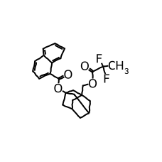 CC(F)(F)C(=O)OCC12CC3CC(C1)CC(OC(=O)c1cccc4ccccc14)(C3)C2